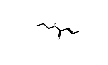 CC=CC(=O)N[CH]CC